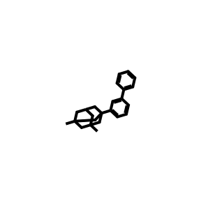 CC12CC3CC(C)(C1)CC(c1cccc(-c4ccccc4)c1)(C3)C2